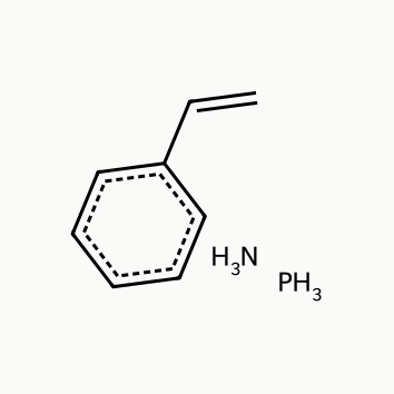 C=Cc1ccccc1.N.P